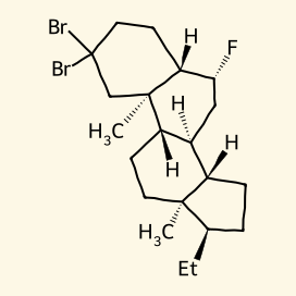 CC[C@@H]1CC[C@H]2[C@@H]3C[C@@H](F)[C@H]4CCC(Br)(Br)C[C@]4(C)[C@H]3CC[C@]12C